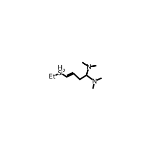 CC[SiH2]C=CCC(N(C)C)N(C)C